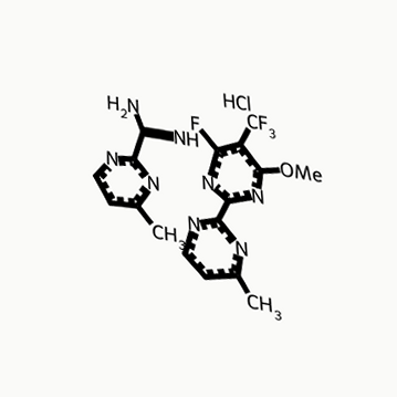 COc1nc(-c2nccc(C)n2)nc(F)c1C(F)(F)F.Cc1ccnc(C(=N)N)n1.Cl